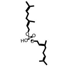 CC(C)=CCC/C(C)=C/COP(=O)(O)OC/C=C(\C)CCC=C(C)C